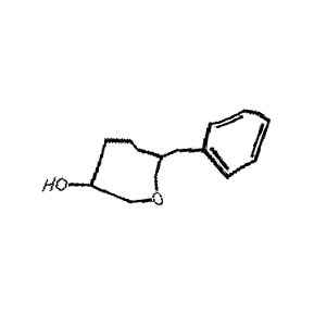 OC1CCC(c2ccccc2)OC1